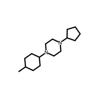 CC1CCC(N2CCN(C3CCCC3)CC2)CC1